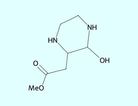 COC(=O)CC1NCCNC1O